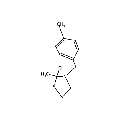 Cc1ccc(CN2CCSC2(C)C)cc1